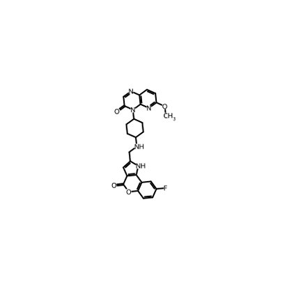 COc1ccc2ncc(=O)n(C3CCC(NCc4cc5c(=O)oc6ccc(F)cc6c5[nH]4)CC3)c2n1